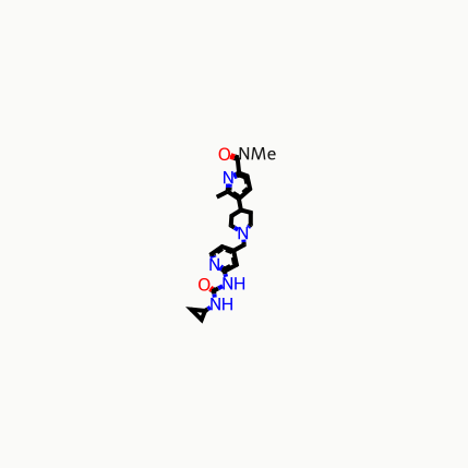 CNC(=O)c1ccc(C2CCN(Cc3ccnc(NC(=O)NC4CC4)c3)CC2)c(C)n1